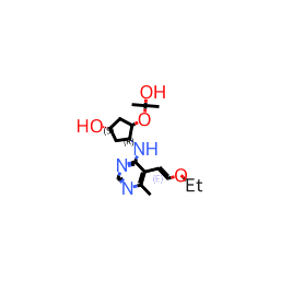 CCO/C=C/c1c(C)ncnc1N[C@@H]1C[C@H](O)CC1OC(C)(C)O